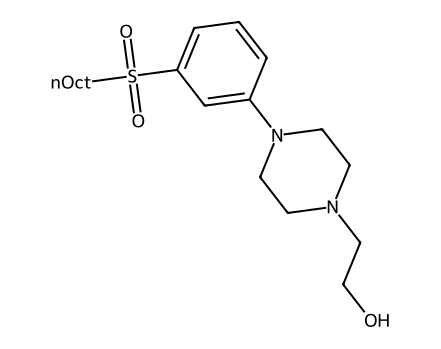 CCCCCCCCS(=O)(=O)c1cccc(N2CCN(CCO)CC2)c1